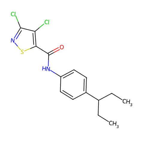 CCC(CC)c1ccc(NC(=O)c2snc(Cl)c2Cl)cc1